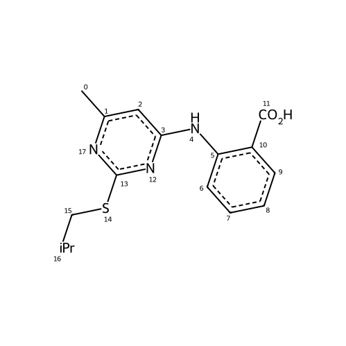 Cc1cc(Nc2ccccc2C(=O)O)nc(SCC(C)C)n1